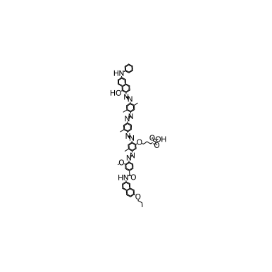 CCCOc1ccc2ccc(NC(=O)c3ccc(N=Nc4cc(OCCCS(=O)(=O)O)c(N=Nc5ccc(N=Nc6cc(C)c(N=Nc7ccc8cc(Nc9ccccc9)ccc8c7O)cc6C)cc5C)cc4C)c(OC)c3)cc2c1